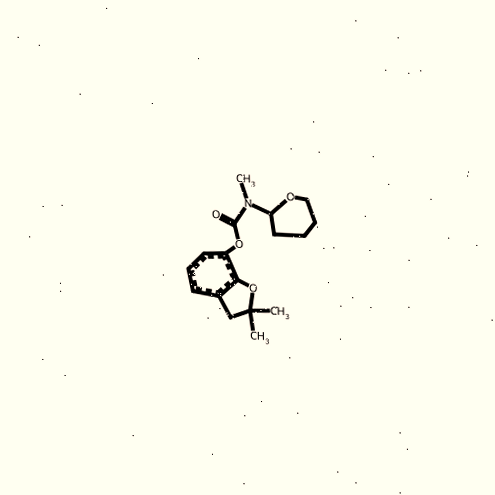 CN(C(=O)Oc1cccc2c1OC(C)(C)C2)C1CCCCO1